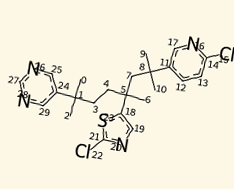 CC(C)(CCC(C)(CC(C)(C)c1ccc(Cl)nc1)c1cnc(Cl)s1)c1cncnc1